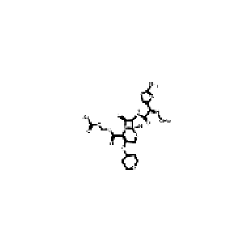 CO/N=C(\C(=O)NC1C(=O)N2C(C(=O)OCOC(=O)C(C)(C)C)=C(SC3CCOCC3)CS[C@@H]12)c1csc(N)n1